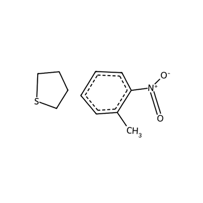 C1CCSC1.Cc1ccccc1[N+](=O)[O-]